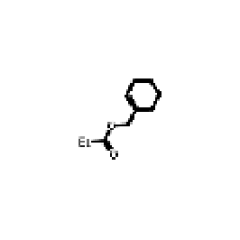 CCC(=O)OCC1=CCCCC1